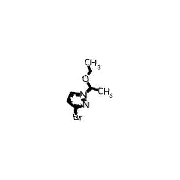 CCOC(C)n1ccc(Br)n1